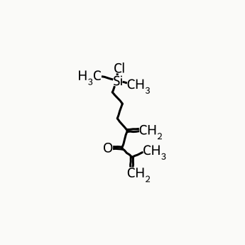 C=C(C)C(=O)C(=C)CCC[Si](C)(C)Cl